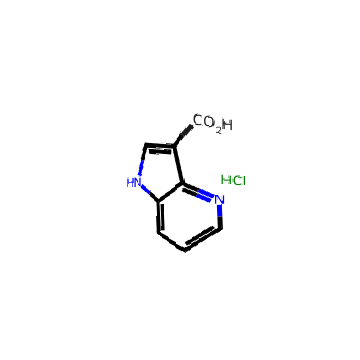 Cl.O=C(O)c1c[nH]c2cccnc12